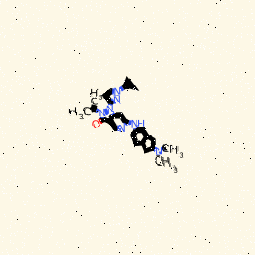 CC(C)n1c(=O)c2cnc(Nc3ccc4c(c3)CC(N(C)C)C4)cc2n1-c1ccn(C2CC2)n1